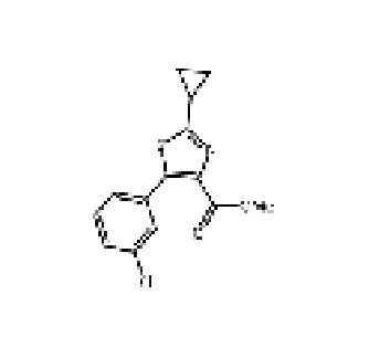 COC(=O)c1nc(C2CC2)sc1-c1cccc(Cl)c1